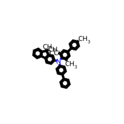 Cc1ccc(-c2cc(C)c(N(c3ccc(-c4ccccc4)cc3)c3ccc4c(c3)C(C)(C)c3ccccc3-4)c(C)c2)cc1